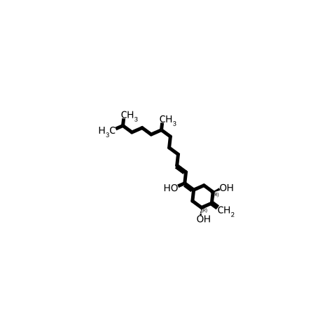 C=C1[C@H](O)CC(=C(O)C=CCCCC(C)CCCC(C)C)C[C@H]1O